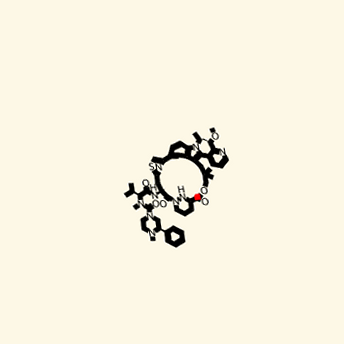 CCn1c(-c2cccnc2[C@H](C)OC)c2c3cc(ccc31)-c1csc(n1)C[C@H](NC(=O)[C@H](C(C)C)N(C)C(=O)N1CCN(C)[C@H](c3ccccc3)C1)C(=O)N1CCC[C@](C=O)(COCC(C)(C)C2)N1